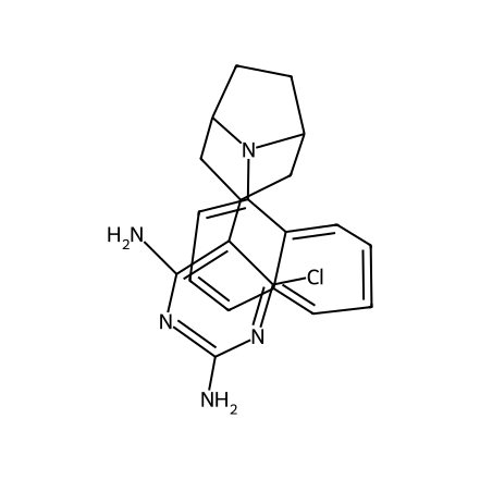 Nc1nc(N)c(C2CC3CCC(C2)N3c2cccc3ccccc23)c(Cl)n1